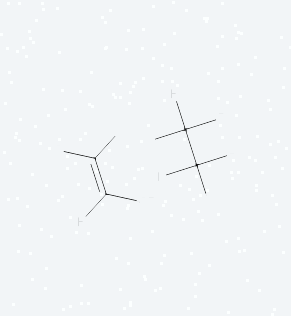 FC(F)(F)C(F)(F)F.FC(F)=C(F)C(F)(F)F